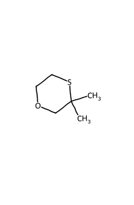 CC1(C)COCCS1